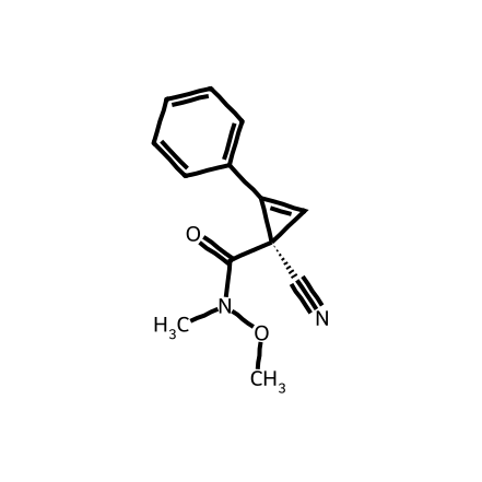 CON(C)C(=O)[C@]1(C#N)C=C1c1ccccc1